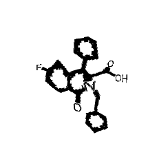 O=C(O)c1c(-c2ccccc2)c2cc(F)ccc2c(=O)n1Cc1ccccc1